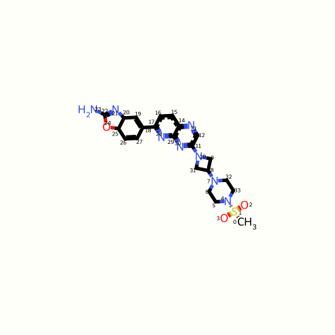 CS(=O)(=O)N1CCN(C2CN(c3cnc4ccc(C5=CC6N=C(N)OC6C=C5)nc4n3)C2)CC1